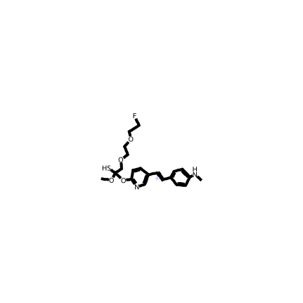 CNc1ccc(/C=C/c2ccc(OC(S)(COCCOCCF)OC)nc2)cc1